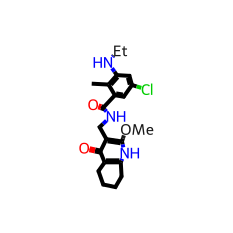 CCNc1cc(Cl)cc(C(=O)NCc2c(OC)[nH]c3c(c2=O)CCCC3)c1C